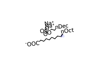 CCCCCCCC/C=C\CCCCCCCC(=O)[O-].CCCCCCCCCCCCOS(=O)(=O)[O-].[Na+].[Na+]